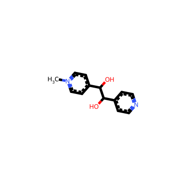 C[n+]1ccc(C(O)C(O)c2ccncc2)cc1